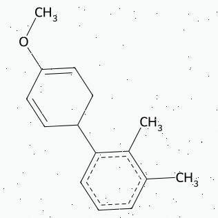 COC1=CCC(c2cccc(C)c2C)C=C1